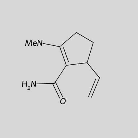 C=CC1CCC(NC)=C1C(N)=O